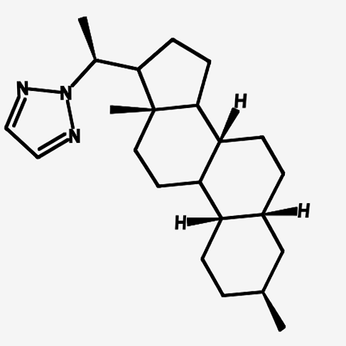 C[C@H]1CC[C@@H]2C3CC[C@@]4(C)C(CCC4[C@H](C)n4nccn4)[C@@H]3CC[C@@H]2C1